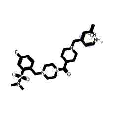 C=C(N)/C=C(\C=C/N)CN1CCC(C(=O)N2CCN(Cc3ccc(F)cc3S(=O)(=O)N(C)C)CC2)CC1